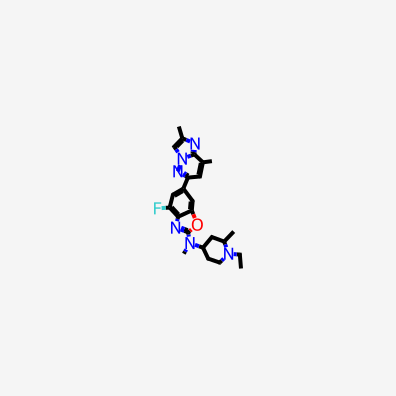 CCN1CCC(N(C)c2nc3c(F)cc(-c4cc(C)c5nc(C)cn5n4)cc3o2)CC1C